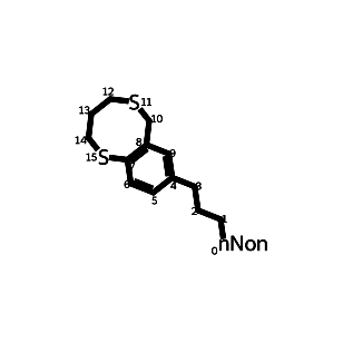 CCCCCCCCCCCCc1ccc2c(c1)CSCCCS2